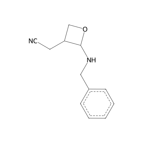 N#CCC1COC1NCc1ccccc1